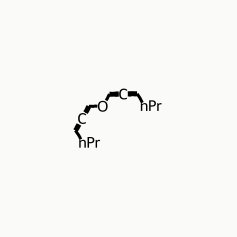 CCCC=C=COC=C=CCCC